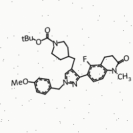 COc1ccc(Cn2cc(CC3CCN(C(=O)OC(C)(C)C)CC3)c(-c3ccc4c(c3F)CCC(=O)N4C)n2)cc1